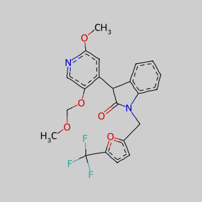 COCOc1cnc(OC)cc1C1C(=O)N(Cc2ccc(C(F)(F)F)o2)c2ccccc21